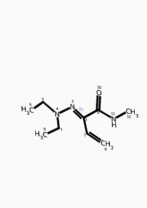 C=C/C(=N\N(CC)CC)C(=O)NC